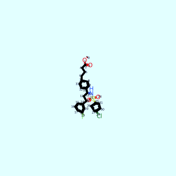 COC(=O)CCCc1ccc(C(CCc2cccc(F)c2)NS(=O)(=O)c2ccc(Cl)cc2)cc1